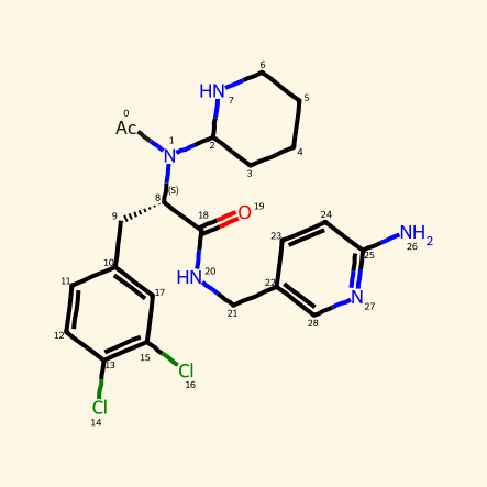 CC(=O)N(C1CCCCN1)[C@@H](Cc1ccc(Cl)c(Cl)c1)C(=O)NCc1ccc(N)nc1